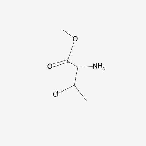 COC(=O)C(N)C(C)Cl